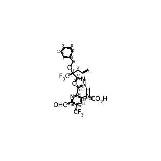 C=CCC(OCc1ccccc1)(c1nnc(-c2nc(C=O)c(C(F)(F)F)cc2NC(=O)O)o1)C(F)(F)F